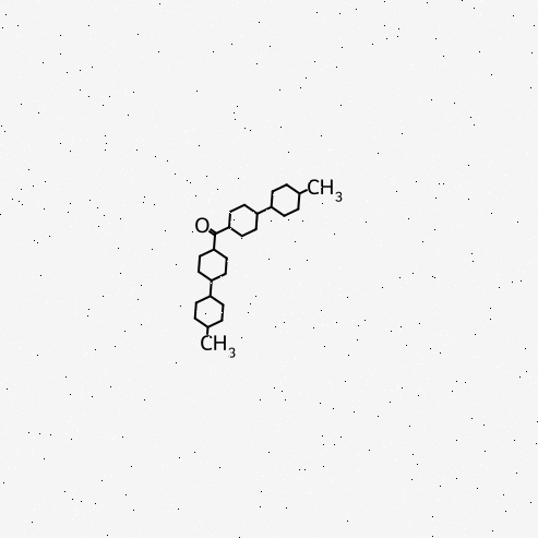 CC1CCC(C2CCC(C(=O)C3CCC(C4CCC(C)CC4)CC3)CC2)CC1